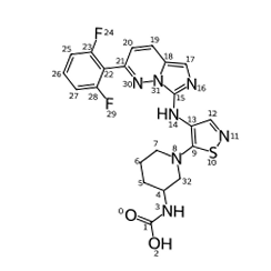 O=C(O)NC1CCCN(c2sncc2Nc2ncc3ccc(-c4c(F)cccc4F)nn23)C1